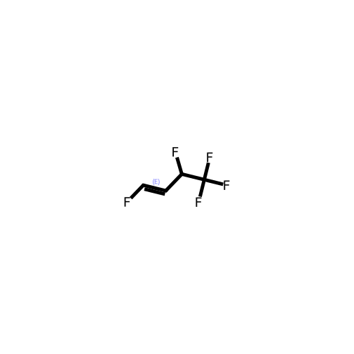 F/C=C/C(F)C(F)(F)F